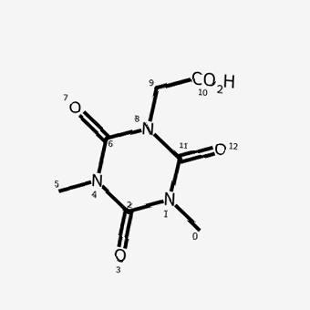 Cn1c(=O)n(C)c(=O)n(CC(=O)O)c1=O